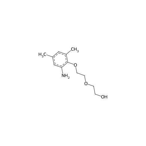 Cc1cc(C)c(OCCOCCO)c(N)c1